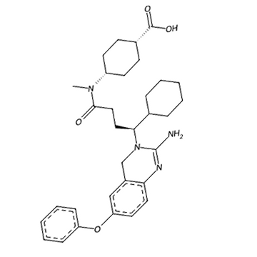 CN(C(=O)CC[C@@H](C1CCCCC1)N1Cc2cc(Oc3ccccc3)ccc2N=C1N)[C@H]1CC[C@@H](C(=O)O)CC1